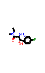 CCN(C)C(=O)[C@H](N)[C@@H](O)c1ccc(F)cc1